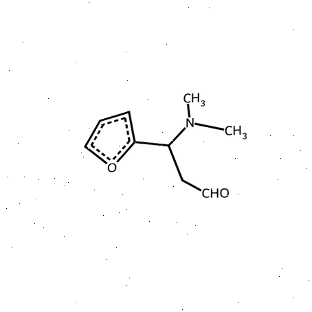 CN(C)C(CC=O)c1ccco1